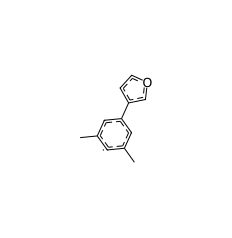 Cc1[c]c(C)cc(-c2ccoc2)c1